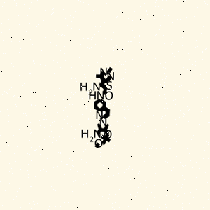 COCC(C)(C)OC1CN(c2ccc3c(n2)CCC(NC(=O)c2sc4nc(C)nc(C)c4c2N)C3)CC1N